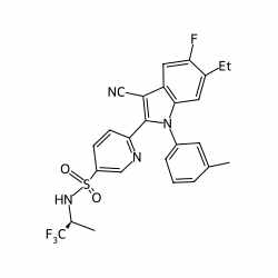 CCc1cc2c(cc1F)c(C#N)c(-c1ccc(S(=O)(=O)N[C@@H](C)C(F)(F)F)cn1)n2-c1cccc(C)c1